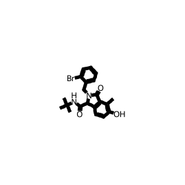 Cc1c(O)ccc2c1C(=O)N(Cc1ccccc1Br)C2C(=O)NC(C)(C)C